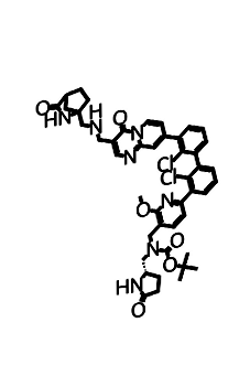 COc1nc(-c2cccc(-c3cccc(-c4ccn5c(=O)c(CNCC67CCC(C6)C(=O)N7)cnc5c4)c3Cl)c2Cl)ccc1CN(C[C@@H]1CCC(=O)N1)C(=O)OC(C)(C)C